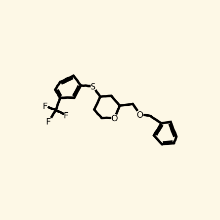 FC(F)(F)c1cccc(SC2CCOC(COCc3ccccc3)C2)c1